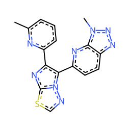 Cc1cccc(-c2nc3scnn3c2-c2ccc3nnn(C)c3n2)n1